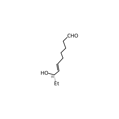 CC[C@H](O)C=CCCCCC=O